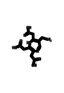 NCC1=C(CC(=O)O)NC(CC(=O)O)=C(CC(=O)O)N=C1